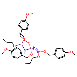 CCCOP(N[PH](N=[PH](OCCC)OCc1ccc(OC)cc1)(OCCC)OCc1ccc(OC)cc1)OCc1ccc(OC)cc1